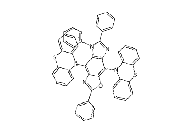 c1ccc(-c2nc3c(N4c5ccccc5Sc5ccccc54)c4c(nc(-c5ccccc5)n4-c4ccccc4)c(N4c5ccccc5Sc5ccccc54)c3o2)cc1